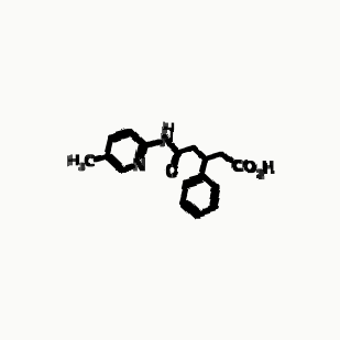 Cc1ccc(NC(=O)CC(CC(=O)O)c2ccccc2)nc1